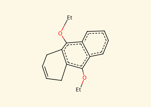 CCOc1c2c(c(OCC)c3ccccc13)CC=CC2